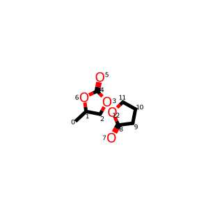 CC1COC(=O)O1.O=C1CCCO1